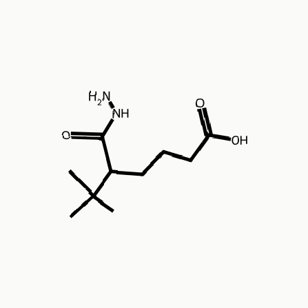 CC(C)(C)C(CCCC(=O)O)C(=O)NN